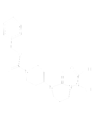 CC(=O)N(C)N1CCCN(C2CCN(C(=O)OCc3ccccc3)CC2)C1=O